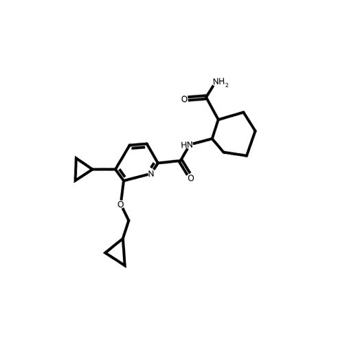 NC(=O)C1CCCCC1NC(=O)c1ccc(C2CC2)c(OCC2CC2)n1